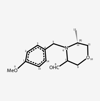 COc1ccc(CN2C(C=O)COC[C@H]2C)cc1